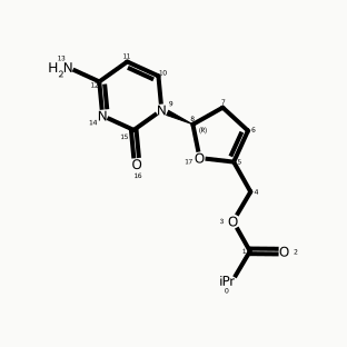 CC(C)C(=O)OCC1=CC[C@H](n2ccc(N)nc2=O)O1